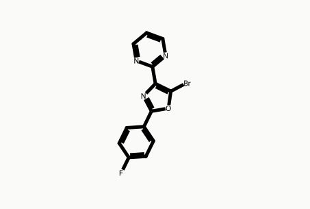 Fc1ccc(-c2nc(-c3ncccn3)c(Br)o2)cc1